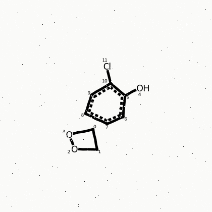 C1COO1.Oc1ccccc1Cl